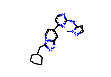 Cn1nccc1Nc1nccc(-c2ccn3c(CC4CCCCC4)nnc3c2)n1